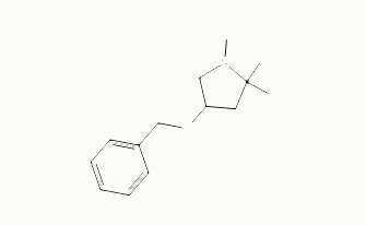 CN1CC(OCc2ccccc2)CC1(F)F